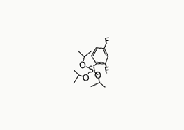 CC(C)O[Si](OC(C)C)(OC(C)C)c1ccc(F)cc1F